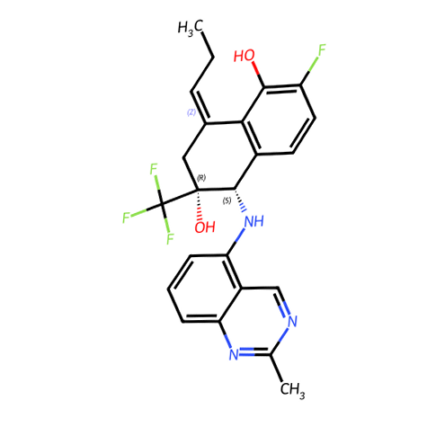 CC/C=C1/C[C@](O)(C(F)(F)F)[C@@H](Nc2cccc3nc(C)ncc23)c2ccc(F)c(O)c21